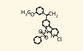 C=C(c1cccc(OC)c1)c1ccc2c(c1)c1ccc(Cl)nc1n2S(=O)(=O)c1ccccc1